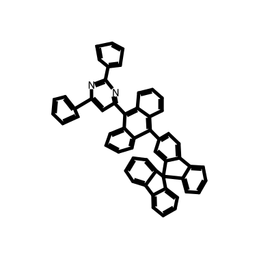 c1ccc(-c2cc(-c3c4ccccc4c(-c4ccc5c(c4)C4(c6ccccc6-c6ccccc64)c4ccccc4-5)c4ccccc34)nc(-c3ccccc3)n2)cc1